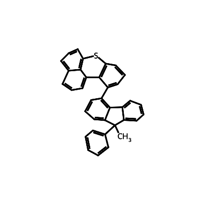 CC1(c2ccccc2)c2ccccc2-c2c(-c3cccc4c3-c3cccc5cccc(c35)S4)cccc21